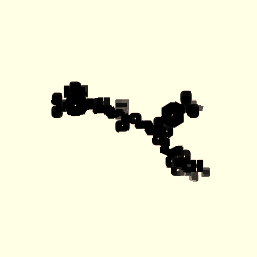 CC1(C)OC[C@H](CCOP(=O)(CCCOC(=O)NCCCNc2ccc([N+](=O)[O-])c3nonc23)Oc2ccc([N+](=O)[O-])cc2)O1